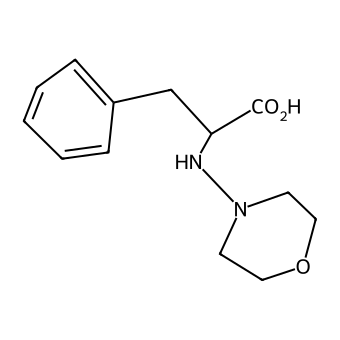 O=C(O)C(Cc1ccccc1)NN1CCOCC1